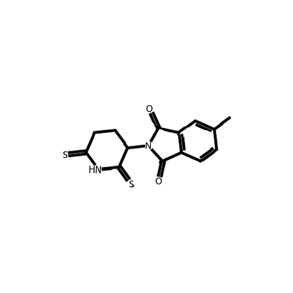 Cc1ccc2c(c1)C(=O)N(C1CCC(=S)NC1=S)C2=O